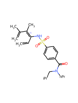 C=C/C(NS(=O)(=O)c1ccc(C(=O)N(CCC)CC(C)C)cc1)=C(/C)C(=C)C